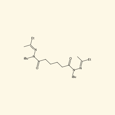 CCC(C)=NN(C(=O)CCCCC(=O)N(N=C(C)CC)C(C)CC)C(C)CC